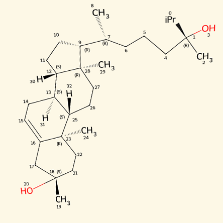 CC(C)[C@](C)(O)CCC[C@@H](C)[C@H]1CC[C@H]2[C@@H]3CC=C4C[C@@](C)(O)CC[C@]4(C)[C@H]3CC[C@]12C